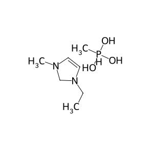 CCN1C=CN(C)C1.C[PH](O)(O)O